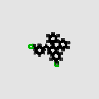 Clc1cccc(Cc2cc3cc(Cl)ccc3c(-c3ccccc3)c2-c2ccccc2)c1